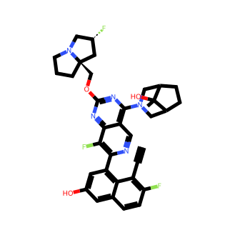 C#Cc1c(F)ccc2cc(O)cc(-c3ncc4c(N5CC6CCC(C5)C6(C)O)nc(OC[C@@]56CCCN5C[C@H](F)C6)nc4c3F)c12